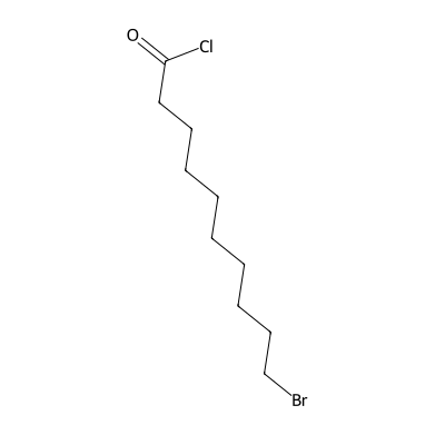 O=C(Cl)CCCCCCCCCBr